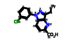 CC(C)Cc1nn(-c2cccc(Cl)c2)c2ccc(C(=O)O)nc12